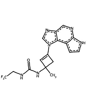 CC1(NC(=O)NCC(F)(F)F)C=C(n2cnc3cnc4[nH]ccc4c32)C1